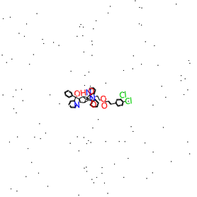 O=C(C=Cc1ccc(Cl)c(Cl)c1)OCCN1C(=O)C2C3C=C(C(O)(c4ccccc4)c4ccccn4)C(C3=C(c3ccccc3)c3ccccn3)C2C1=O